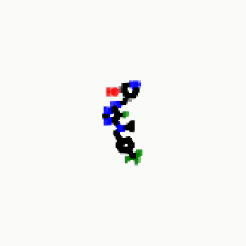 O[C@@H]1CNCC[C@H]1CNc1ncnc(N(Cc2ccc(C(F)(F)F)cc2)C2CC2)c1F